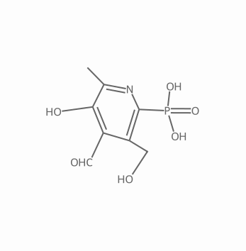 Cc1nc(P(=O)(O)O)c(CO)c(C=O)c1O